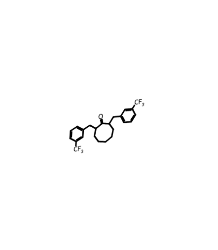 O=C1C(Cc2cccc(C(F)(F)F)c2)CCCCCC1Cc1cccc(C(F)(F)F)c1